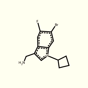 NCc1cn(C2CCC2)c2cc(Br)c(F)cc12